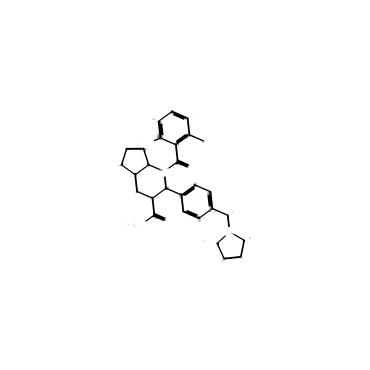 COC(=O)C1CC2CCCC2N(C(=O)c2c(C)cccc2F)C1c1ccc(CN2CCC[C@@H]2C(F)(F)F)cc1